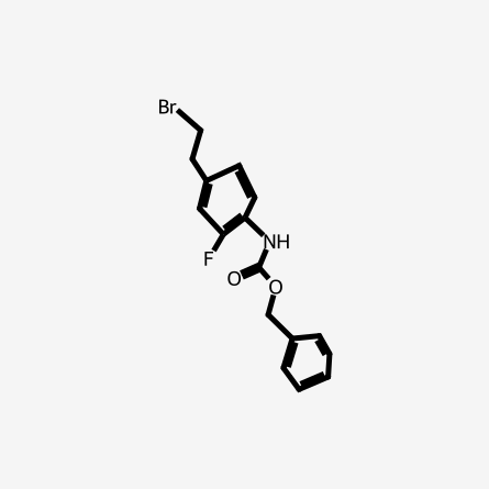 O=C(Nc1ccc(CCBr)cc1F)OCc1ccccc1